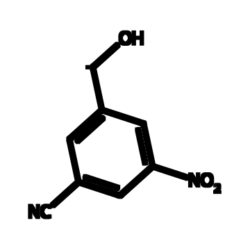 N#Cc1cc([CH]O)cc([N+](=O)[O-])c1